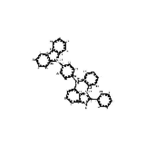 c1ccc(-c2nc3cccc4c3n2-c2ccccc2N4c2ccc(-n3c4ccccc4c4ccccc43)cc2)cc1